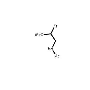 CCC(CNC(C)=O)OC